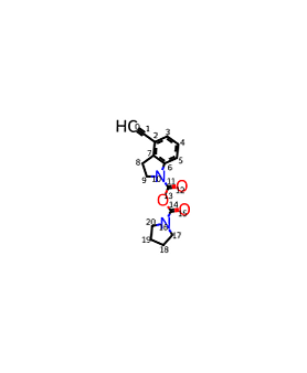 C#Cc1cccc2c1CCN2C(=O)OC(=O)N1CCCC1